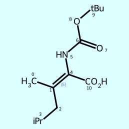 C/C(CC(C)C)=C(\NC(=O)OC(C)(C)C)C(=O)O